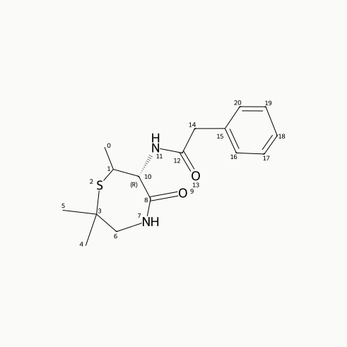 CC1SC(C)(C)CNC(=O)[C@H]1NC(=O)Cc1ccccc1